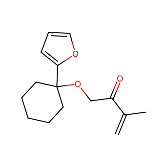 C=C(C)C(=O)COC1(c2ccco2)CCCCC1